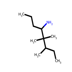 CCCC(N)C(C)(C)C(C)CC